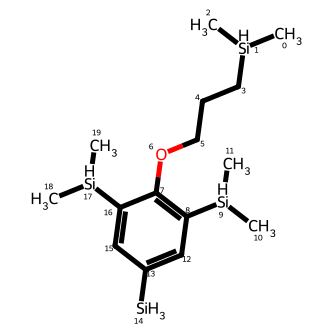 C[SiH](C)CCCOc1c([SiH](C)C)cc([SiH3])cc1[SiH](C)C